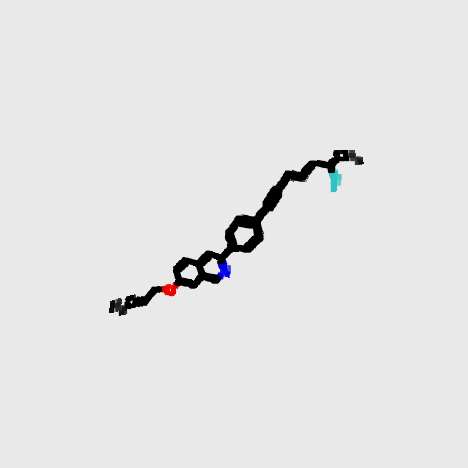 C=CCOc1ccc2cc(-c3ccc(C#CCCCC(C)F)cc3)ncc2c1